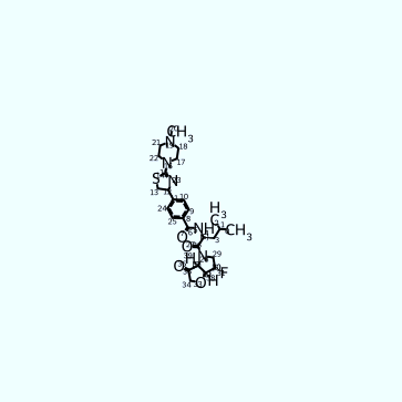 CC(C)C[C@H](NC(=O)c1ccc(C2CSC(N3CCN(C)CC3)=N2)cc1)C(=O)N1C[C@H](F)[C@H]2OCC(=O)[C@H]21